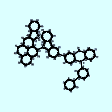 c1ccc(-c2cccc(N3c4ccccc4Sc4cc(-c5ccc6c(c5)c5ccccc5n6-c5cc6cccc7ccc8cc9c%10ccccc%10sc9c5c8c76)ccc43)c2)cc1